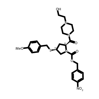 COc1ccc(CS[C@H]2C[C@@H](C(=O)N3CCN(CCO)CC3)N(C(=O)OCc3ccc([N+](=O)[O-])cc3)C2)cc1